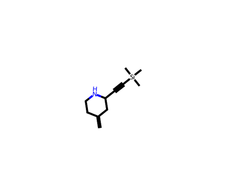 C=C1CCNC(C#C[Si](C)(C)C)C1